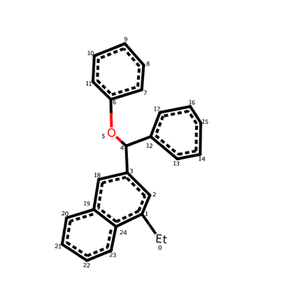 CCc1[c]c(C(Oc2ccccc2)c2ccccc2)cc2ccccc12